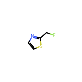 FCc1n[c]cs1